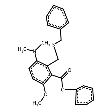 COc1ccc(N(C)C)c(CSCc2ccccc2)c1C(=O)Oc1ccccc1